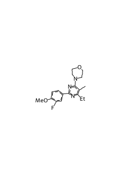 CCc1nc(-c2ccc(OC)c(F)c2)nc(N2CCOCC2)c1C